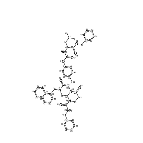 CC(C)CC(NC(=O)Oc1ccc(C[C@H]2C(=O)N(Cc3cccc4cccnc34)CC3N(C(=O)NCc4ccccc4)CCC(=O)N32)cc1)C(=O)OCc1ccccc1